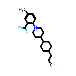 CCCC1CCC(C2CCN(c3ccc(C)cc3C(F)F)CC2)CC1